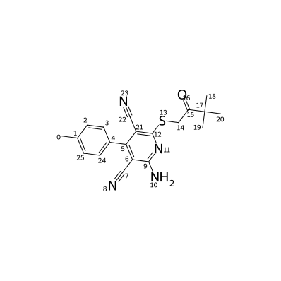 Cc1ccc(-c2c(C#N)c(N)nc(SCC(=O)C(C)(C)C)c2C#N)cc1